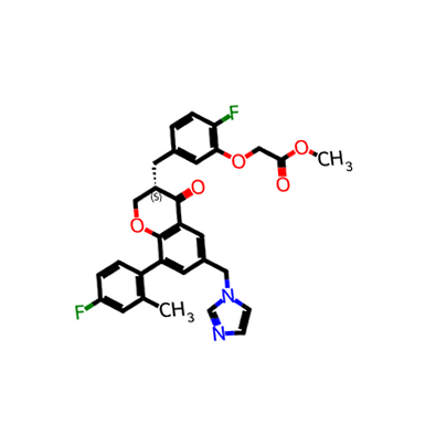 COC(=O)COc1cc(C[C@H]2COc3c(cc(Cn4ccnc4)cc3-c3ccc(F)cc3C)C2=O)ccc1F